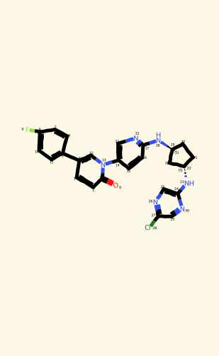 O=c1ccc(-c2ccc(F)cc2)cn1-c1ccc(N[C@H]2CC[C@H](Nc3cnc(Cl)cn3)C2)nc1